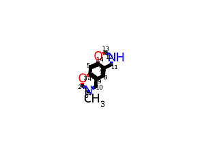 CN1COc2cc3c(cc2C1)CNCO3